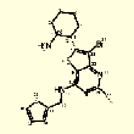 N[C@H]1CCCC[C@@H]1c1sc2c(NCc3cccs3)cc(Cl)nc2c1Br